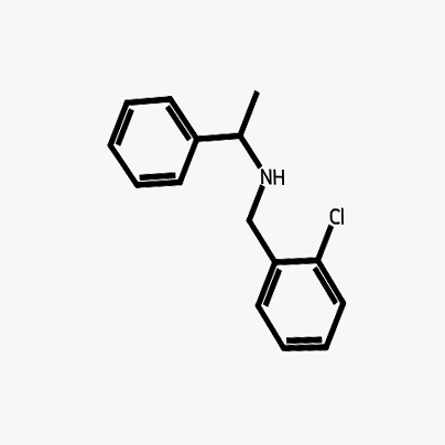 CC(NCc1ccccc1Cl)c1ccccc1